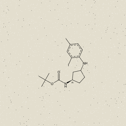 Cc1ccc(NC2CC[C@@H](NC(=O)OC(C)(C)C)C2)c(I)c1